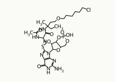 CCC(C)(CCOCCCCCCCl)NC(=O)C(CSc1nc2c(=O)[nH]c(N)nc2n1C1OC2COP(=O)(O)OC2C1O)NC(C)=O